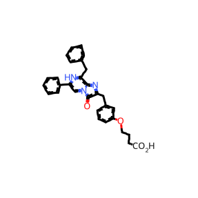 O=C(O)CCCOc1cccc(Cc2nc3c(Cc4ccccc4)[nH]c(-c4ccccc4)cn-3c2=O)c1